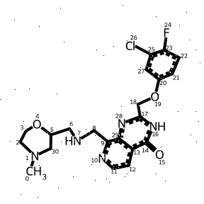 CN1CCOC(CNCc2nccc3c(=O)[nH]c(COc4ccc(F)c(Cl)c4)nc23)C1